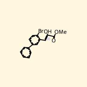 COC(=O)/C(O)=C/c1cc(-c2ccccc2)ccc1Br